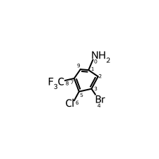 Nc1cc(Br)c(Cl)c(C(F)(F)F)c1